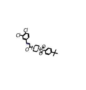 CC(C)(C)c1ccc(S(=O)(=O)N2CCN(C(=O)/C=C/c3ccc(Cl)c(Cl)c3)CC2)cc1